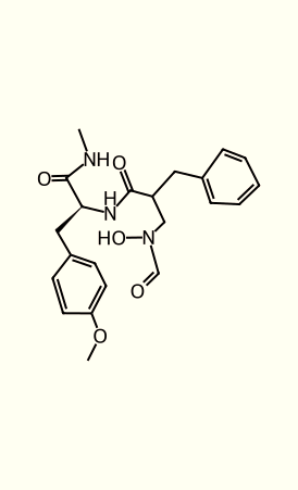 CNC(=O)[C@H](Cc1ccc(OC)cc1)NC(=O)C(Cc1ccccc1)CN(O)C=O